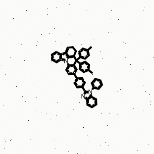 Cc1ccc(C2(c3ccc(C)cc3)C3=c4c(c5ccccc5n4-c4ccc(-c5ccc(-c6nc7ccccc7n6-c6ccccc6)cc5)cc42)=CCC3)cc1